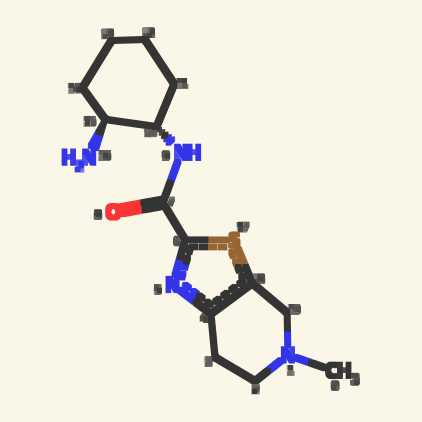 CN1CCc2nc(C(=O)N[C@H]3CCCC[C@@H]3N)sc2C1